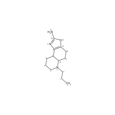 CCCN1CCCC2c3nc(N)oc3CCC21